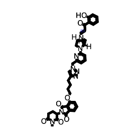 CN1C(=O)CCC(N2C(=O)c3cccc(OCCCCc4cn(Cc5cccc(N6C[C@H]7C[C@@H]6CN7/C=C/C(=O)c6ccccc6O)n5)nn4)c3C2=O)C1=O